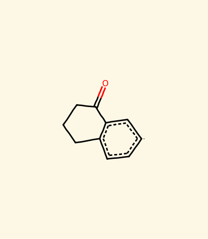 O=C1CCCc2cc[c]cc21